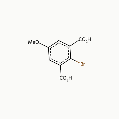 COc1cc(C(=O)O)c(Br)c(C(=O)O)c1